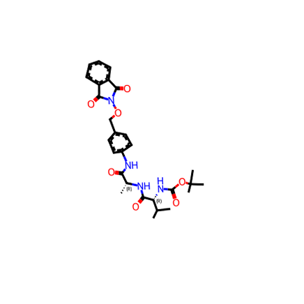 CC(C)[C@@H](NC(=O)OC(C)(C)C)C(=O)N[C@H](C)C(=O)Nc1ccc(CON2C(=O)c3ccccc3C2=O)cc1